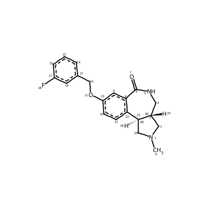 CN1C[C@H]2CNC(=O)c3cc(OCc4cccc(F)c4)ccc3[C@@H]2C1